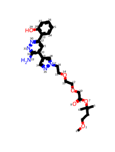 COCCC(C)(C)OC(=O)COCCOCCn1cc(-c2cc(-c3ccccc3O)nnc2N)cn1